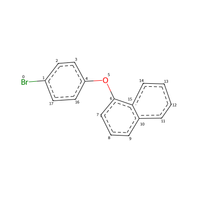 Brc1ccc(Oc2[c]ccc3ccccc23)cc1